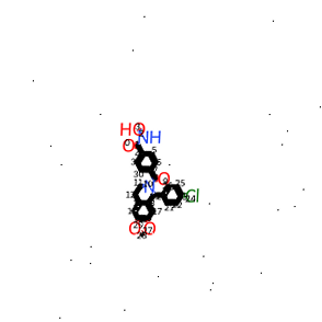 O=C(NO)c1ccc(C(=O)N2CCc3cc4c(cc3C2c2ccc(Cl)cc2)OCO4)cc1